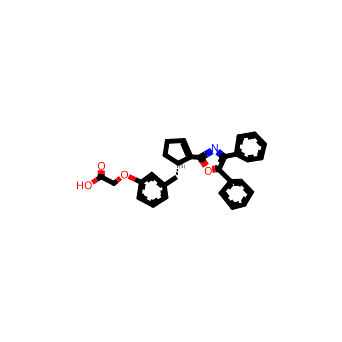 O=C(O)COc1cccc(C[C@@H]2CCC=C2c2nc(-c3ccccc3)c(-c3ccccc3)o2)c1